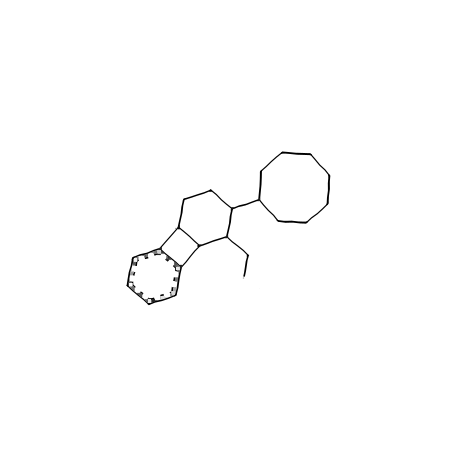 CCC1C2[C](CCC1C1C[CH]CCCCC1)c1ccccc12